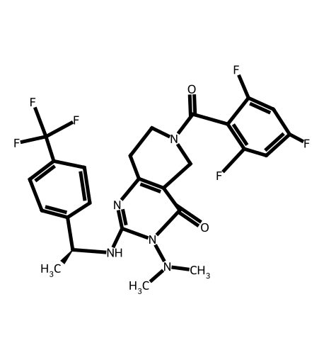 C[C@H](Nc1nc2c(c(=O)n1N(C)C)CN(C(=O)c1c(F)cc(F)cc1F)CC2)c1ccc(C(F)(F)F)cc1